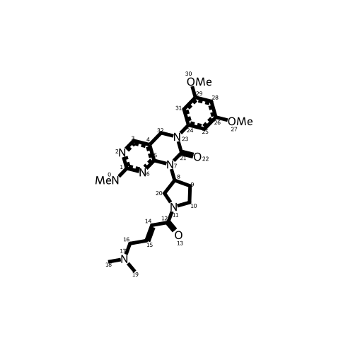 CNc1ncc2c(n1)N(C1CCN(C(=O)C=CCN(C)C)C1)C(=O)N(c1cc(OC)cc(OC)c1)C2